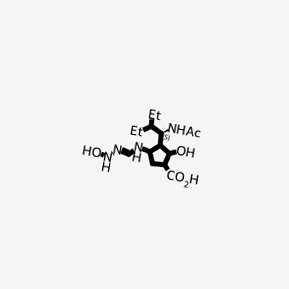 CCC(CC)[C@H](NC(C)=O)C1C(NC=NNO)CC(C(=O)O)C1O